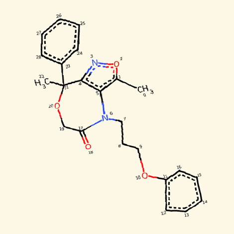 Cc1onc2c1N(CCCOc1ccccc1)C(=O)COC2(C)c1ccccc1